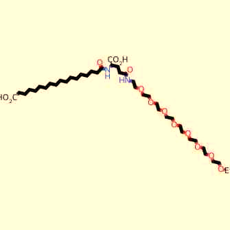 CCOCCOCCOCCOCCOCCOCCOCCOCCNC(=O)CC[C@H](NC(=O)CCCCCCCCCCCCCCCCC(=O)O)C(=O)O